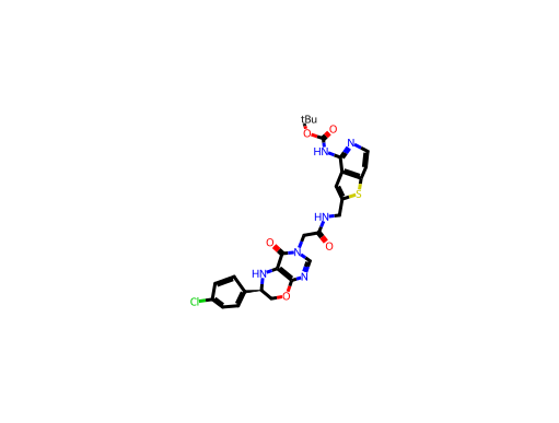 CC(C)(C)OC(=O)Nc1nccc2sc(CNC(=O)Cn3cnc4c(c3=O)N[C@H](c3ccc(Cl)cc3)CO4)cc12